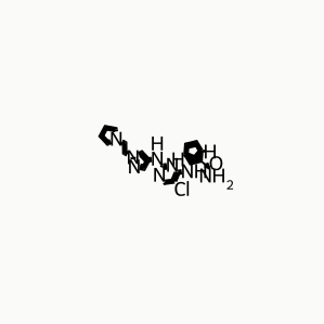 NC(=O)[C@H]1[C@@H](Nc2nc(Nc3cnn(CCN4CCCC4)c3)ncc2Cl)[C@@H]2C=C[C@H]1C2